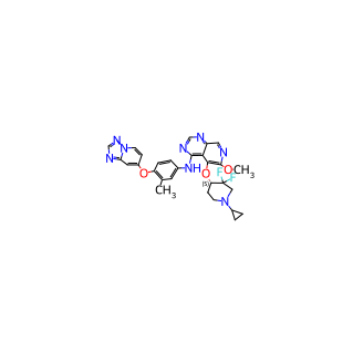 COc1ncc2ncnc(Nc3ccc(Oc4ccn5ncnc5c4)c(C)c3)c2c1O[C@H]1CCN(C2CC2)CC1(F)F